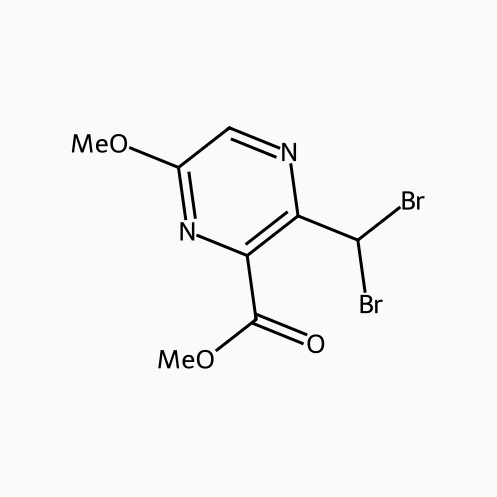 COC(=O)c1nc(OC)cnc1C(Br)Br